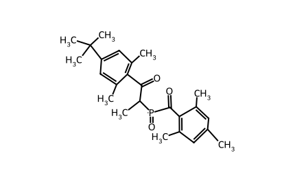 Cc1cc(C)c(C(=O)[P](=O)C(C)C(=O)c2c(C)cc(C(C)(C)C)cc2C)c(C)c1